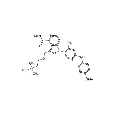 CNC(=O)c1nccc2c(-c3cnc(Nc4cnc(OC)cn4)cc3C)cn(COCC[Si](C)(C)C)c12